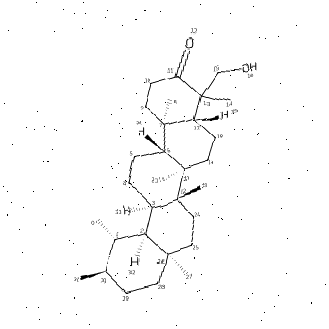 C[C@@H]1[C@H]2[C@H]3CC[C@@H]4[C@@]5(C)CCC(=O)C(C)(CO)[C@@H]5CC[C@@]4(C)[C@]3(C)CC[C@@]2(C)CC[C@H]1C